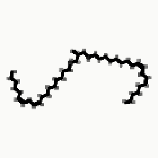 [CH2]C(COCCCCCCCC/C=C\C/C=C\CCCCC)COCCCCCCCC/C=C\C/C=C\CCCCC